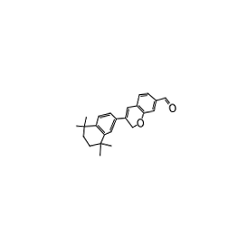 CC1(C)CCC(C)(C)c2cc(C3=Cc4ccc(C=O)cc4OC3)ccc21